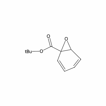 CC(C)(C)OC(=O)C12C=CC=CC1O2